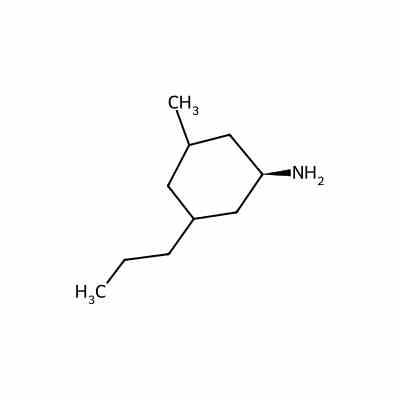 CCCC1CC(C)C[C@@H](N)C1